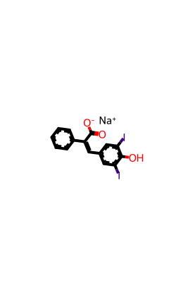 O=C([O-])C(=Cc1cc(I)c(O)c(I)c1)c1ccccc1.[Na+]